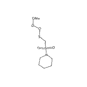 COOOSCS(=O)(=O)N1CCCCC1